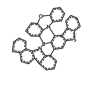 c1ccc2c(c1)Oc1cccc3c1N2c1c2c(cc4sc5ccccc5c14)-c1cccc4c5ccc6ccccc6c5n(c14)B32